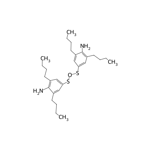 CCCCc1cc(SOSc2cc(CCCC)c(N)c(CCCC)c2)cc(CCCC)c1N